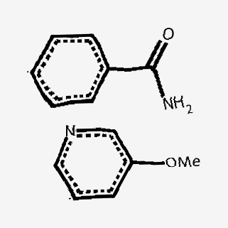 COc1c[c]cnc1.NC(=O)c1cc[c]cc1